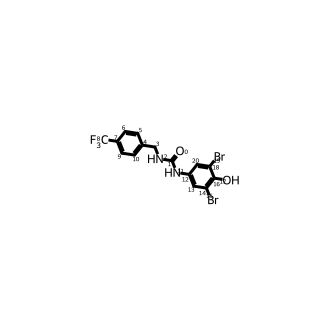 O=C(NCc1ccc(C(F)(F)F)cc1)Nc1cc(Br)c(O)c(Br)c1